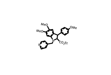 CCOC(=O)C1C(c2ccc(OC)cc2)c2cc(OC)c(OC)cc2N1Cc1ccncc1